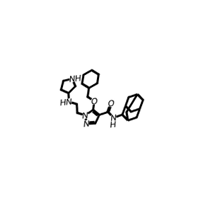 O=C(NC1C2CC3CC(C2)CC1C3)c1cnn(CCNC2CCNC2)c1OCC1CCCCC1